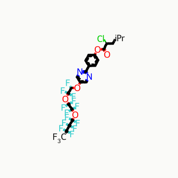 CC(C)C[C@H](Cl)C(=O)Oc1ccc(-c2ncc(OC(F)C(F)(F)OC(F)(F)C(F)(F)OC(F)(F)C(F)(F)C(F)(F)C(F)(F)F)cn2)cc1